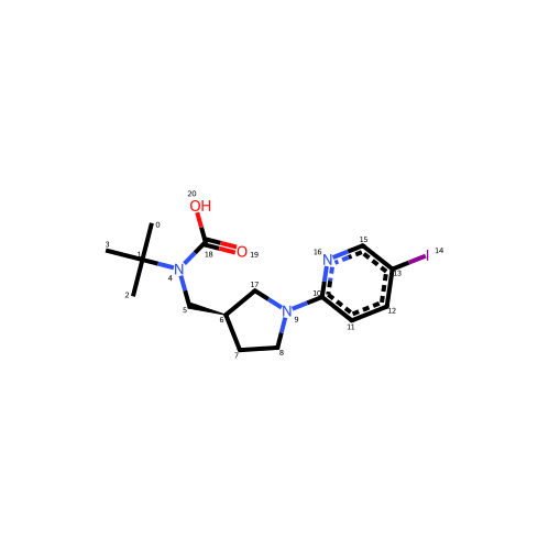 CC(C)(C)N(C[C@@H]1CCN(c2ccc(I)cn2)C1)C(=O)O